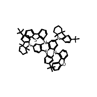 CC(C)(C)c1ccc2c(c1)N(c1cccc3oc4ccccc4c13)c1cc(N3c4ccc(C(C)(C)C)cc4C4(C)CCCCC34C)cc3c1B2c1ccc(N2c4ccc(C(C)(C)C)cc4C4(C)CCCCC24C)cc1N3c1cccc2c1sc1ccccc12